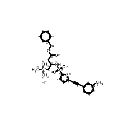 Cc1cccc(C#Cc2ccc(S(=O)(=O)NC(CC(=O)OCc3ccccc3)C[N+](C)(C)C)s2)c1.[I-]